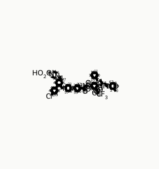 CC1CN(CC[C@H](CSc2ccccc2)Nc2ccc(S(=O)(=O)NC(=O)c3ccc(N4CCN(CC5=C(c6ccc(Cl)cc6)CC[C@@](C)(CN6CCN(C(=O)O)CC6)C5)CC4)cc3)cc2S(=O)(=O)C(F)(F)F)CCO1